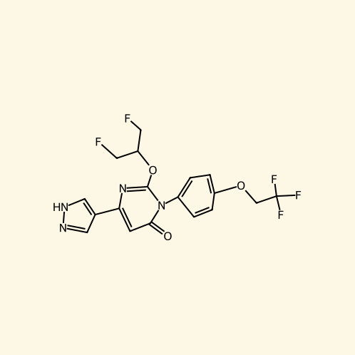 O=c1cc(-c2cn[nH]c2)nc(OC(CF)CF)n1-c1ccc(OCC(F)(F)F)cc1